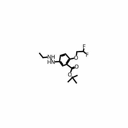 CCNNc1ccc(OCC(F)F)c(C(=O)OC(C)(C)C)c1